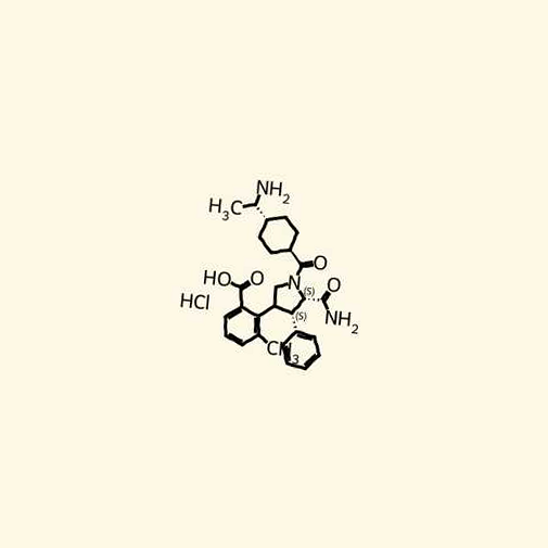 Cc1cccc(C(=O)O)c1C1CN(C(=O)[C@H]2CC[C@H](C(C)N)CC2)[C@H](C(N)=O)[C@@H]1c1ccccc1.Cl